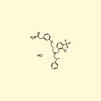 CC(CN(CCCOc1cccc(CC(N)=O)c1)Cc1cccc(C(F)(F)F)c1Cl)c1ccccc1.Cl